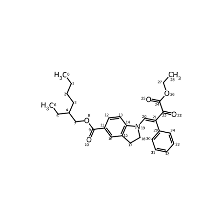 CCCCC(CC)COC(=O)c1ccc2c(c1)CCN2/C=C(/C(=O)C(=O)OCC)c1ccccc1